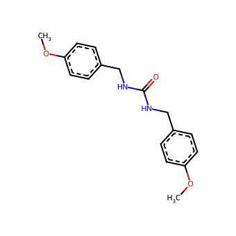 COc1ccc(CNC(=O)NCc2ccc(OC)cc2)cc1